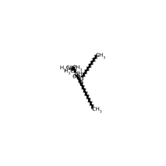 CCCCCCCCCCCCCCCCOCC(COC(=O)NCCC(C)(C)OCC)OCCCCCCCCCCCCCCCC